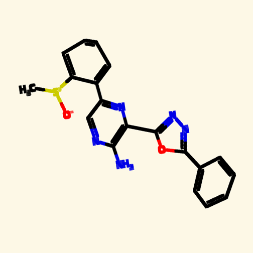 C[S+]([O-])c1ccccc1-c1cnc(N)c(-c2nnc(-c3ccccc3)o2)n1